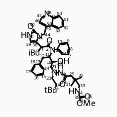 CCC(C)C(C(=O)N(c1ccccc1)C(Cc1ccccc1)C(O)CN(CCC(C)(C)C)NC(=O)CC(C)(C)CNC(=O)OC)c1c[nH]c(=O)n1Cc1ccnc2ccccc12